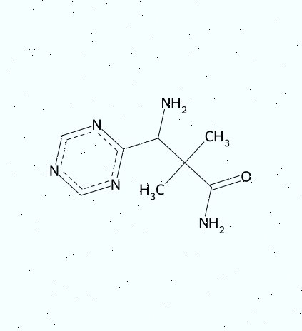 CC(C)(C(N)=O)C(N)c1ncncn1